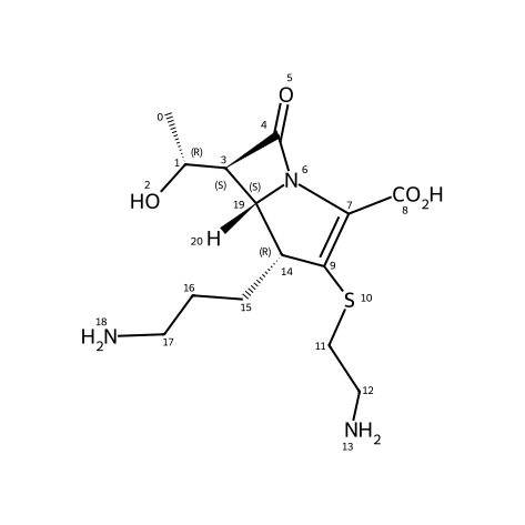 C[C@@H](O)[C@H]1C(=O)N2C(C(=O)O)=C(SCCN)[C@H](CCCN)[C@H]12